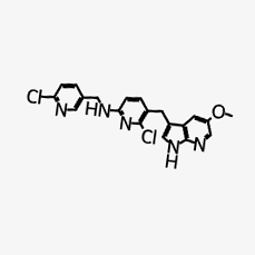 COc1cnc2[nH]cc(Cc3ccc(NCc4ccc(Cl)nc4)nc3Cl)c2c1